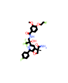 COc1cc(C(=O)NC[C@](O)(c2cc3c(c(-c4ccc(F)cc4)n2)OC[C@@]3(C)C(N)=O)C(F)(F)F)ccc1OCCF